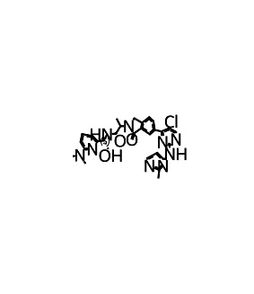 Cc1nccc(Nc2ncc(Cl)c(-c3ccc4c(c3)C(=O)N(C(C)C(=O)N[C@H](CO)c3cccc(N(C)C)n3)C4)n2)n1